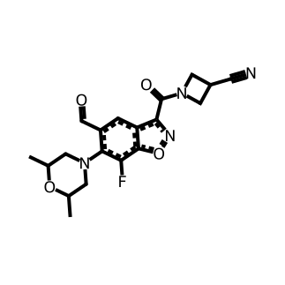 CC1CN(c2c(C=O)cc3c(C(=O)N4CC(C#N)C4)noc3c2F)CC(C)O1